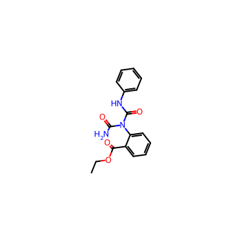 CCOC(=O)c1ccccc1N(C(N)=O)C(=O)Nc1ccccc1